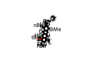 CCCCOc1noc2c1C(=O)[C@@]1(O[Si](C)(C)C(C)(C)C)C(O)=C3C(=O)c4c(c(OC)cc(NS(=O)(=O)CCN5CCCC5)c4OCCCC)C[C@H]3C[C@H]1[C@@H]2N(C)C